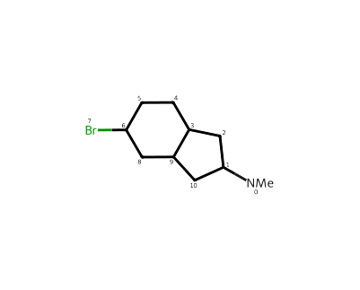 CNC1CC2CCC(Br)CC2C1